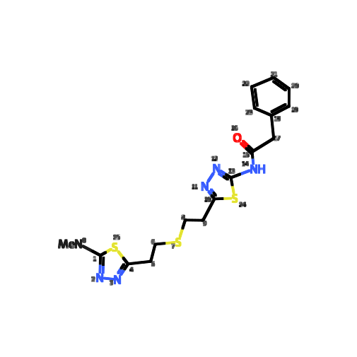 CNc1nnc(CCSCCc2nnc(NC(=O)Cc3ccccc3)s2)s1